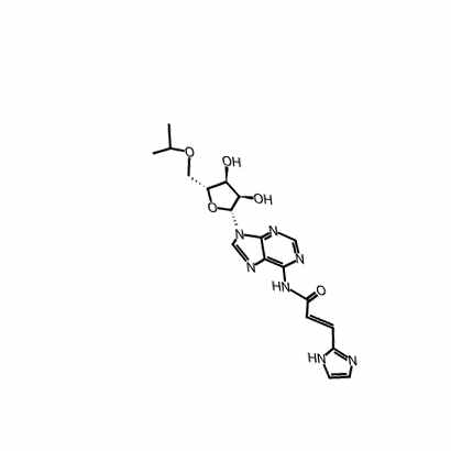 CC(C)OC[C@H]1O[C@@H](n2cnc3c(NC(=O)/C=C/c4ncc[nH]4)ncnc32)[C@H](O)[C@@H]1O